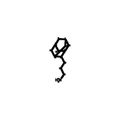 NCCCC1C2CC3CC(C2)CC1C3